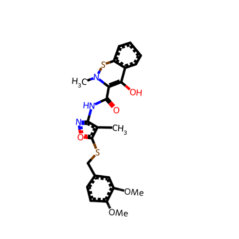 COc1ccc(CSc2onc(NC(=O)C3=C(O)c4ccccc4SN3C)c2C)cc1OC